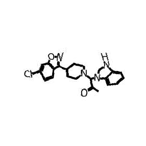 CC(=O)C(N1CCC(c2noc3cc(Cl)ccc23)CC1)N1CNc2ccccc21